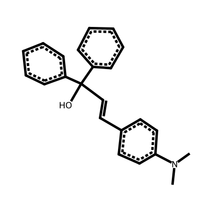 CN(C)c1ccc(C=CC(O)(c2ccccc2)c2ccccc2)cc1